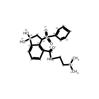 CN(C)CCNC(=O)c1cccc2c1C(S(=O)(=O)c1ccccc1)CS2(O)O